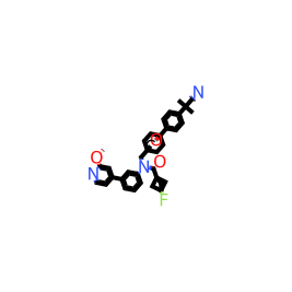 COc1cc(-c2cccc(N(CC34CCC(c5ccc(C(C)(C)C#N)cc5)(CC3)OC4)C(=O)C34CC(F)(C3)C4)c2)ccn1